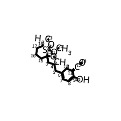 COC1(CCCC2=CC=C(O)C(=C=O)C2)CCCC[Si]1(OC)OC